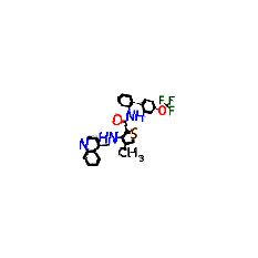 Cc1csc(C(=O)Nc2ccccc2-c2ccc(OC(F)(F)F)cc2)c1NCc1ccnc2ccccc12